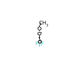 CCC[C@H]1CC[C@H](C2CCC(C#Cc3cc(F)c(F)c(F)c3)CC2)CC1